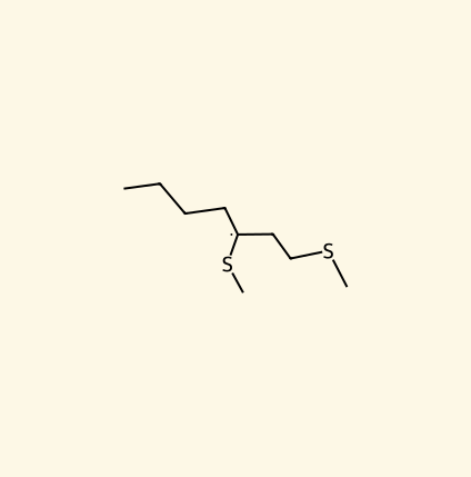 CCCC[C](CCSC)SC